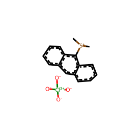 C[S+](C)c1c2ccccc2cc2ccccc12.[O-][Cl+3]([O-])([O-])[O-]